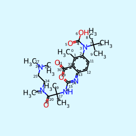 Cc1c(N(C(=O)O)C(C)(C)C)ccc2nc(NC(C)(C)C(=O)N(C)CCN(C)C)oc(=O)c12